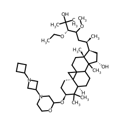 CCO[C@@H](C(C[C@@H](C)[C@H]1C[C@H](O)C2(C)C3CC[C@H]4C(C)(C)[C@@H](OC5CN(C6CN(C7CCC7)C6)CCO5)CC[C@@]45CC35CC[C@]12C)OC)C(C)(C)O